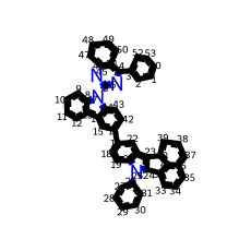 c1ccc(-c2nc(-n3c4ccccc4c4cc(-c5ccc6c(c5)c5c(n6-c6ccccc6)-c6cccc7cccc-5c67)ccc43)nc3ccccc23)cc1